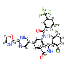 O=C(Nc1cc(-c2cnc(-c3ncco3)nc2)cc2c1C(c1cc(F)ccc1Cl)NC2=O)c1cc(F)cc(C(F)(F)F)c1